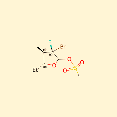 CC[C@H]1OC(OS(C)(=O)=O)[C@@](F)(Br)[C@@H]1C